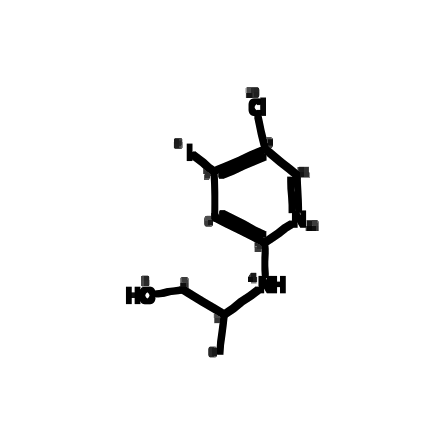 CC(CO)Nc1cc(I)c(Cl)cn1